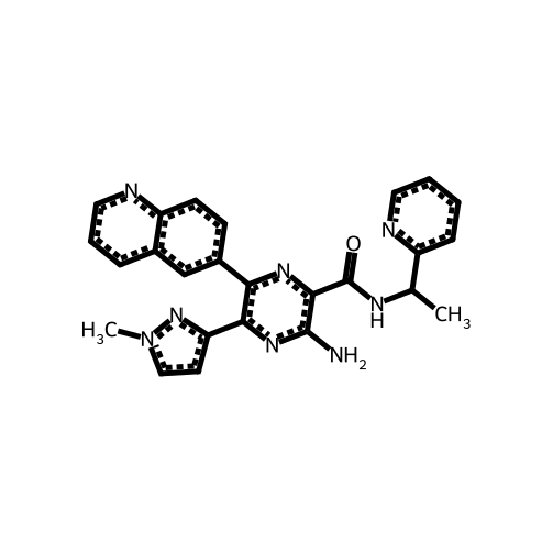 CC(NC(=O)c1nc(-c2ccc3ncccc3c2)c(-c2ccn(C)n2)nc1N)c1ccccn1